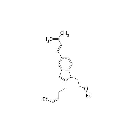 C=C(C)/C=C/c1ccc2c(c1)C=C(CC/C=C\CC)C2CCOCC